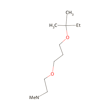 CCC(C)(C)OCCCOCCNC